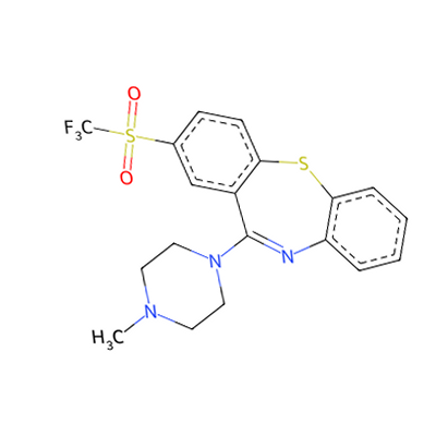 CN1CCN(C2=Nc3ccccc3Sc3ccc(S(=O)(=O)C(F)(F)F)cc32)CC1